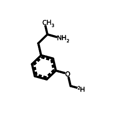 [2H]COc1cccc(CC(C)N)c1